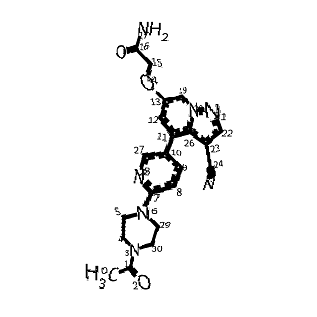 CC(=O)N1CCN(c2ccc(-c3cc(OCC(N)=O)cn4ncc(C#N)c34)cn2)CC1